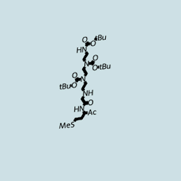 CSCCC(NC(=O)CNCCN(CCN(CCNC(=O)OC(C)(C)C)C(=O)OC(C)(C)C)C(=O)OC(C)(C)C)C(C)=O